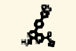 Cn1cc(-c2ccc(-c3cnc(N)c4ncc(C(=O)N5CCC5)cc34)cc2)cn1